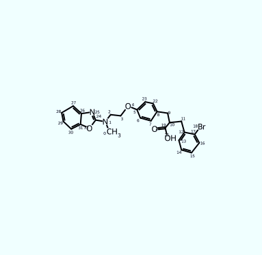 CN(CCOc1ccc(CC(Cc2ccccc2Br)C(=O)O)cc1)c1nc2ccccc2o1